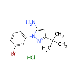 CC(C)(C)c1cc(N)n(-c2cccc(Br)c2)n1.Cl